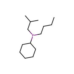 CCCCP(CC(C)C)C1CCCCC1